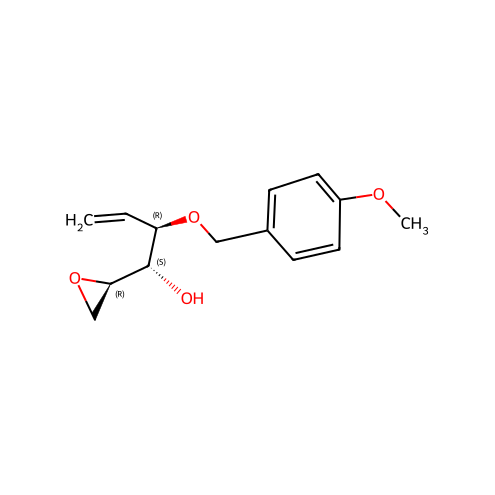 C=C[C@@H](OCc1ccc(OC)cc1)[C@H](O)[C@H]1CO1